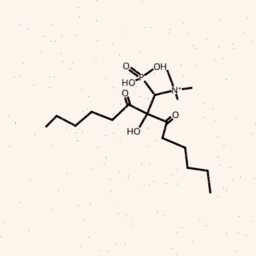 CCCCCC(=O)C(O)(C(=O)CCCCC)C([N+](C)(C)C)P(=O)(O)O